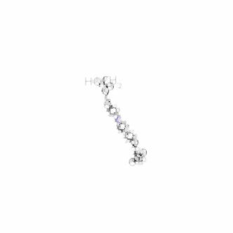 C=C(CO)C(=O)OCCCOc1ccc(/C=C/c2ccc(-c3ccc(OCCCN4C(=O)C=CC4=O)cc3)cc2)cc1